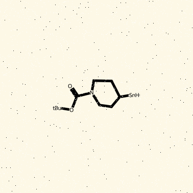 CC(C)(C)OC(=O)N1CC[CH]([SnH])CC1